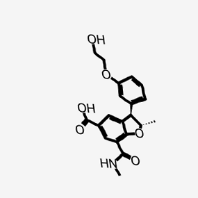 CNC(=O)c1cc(C(=O)O)cc2c1O[C@@H](C)[C@@H]2c1cccc(OCCO)c1